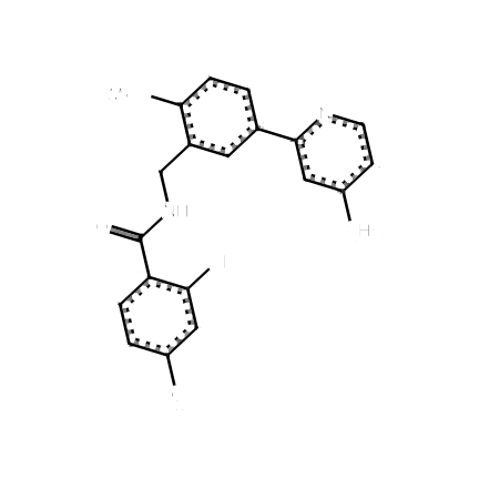 COc1ccc(-c2cc(C=O)ccn2)cc1CNC(=O)c1ccc(Cl)cc1Cl